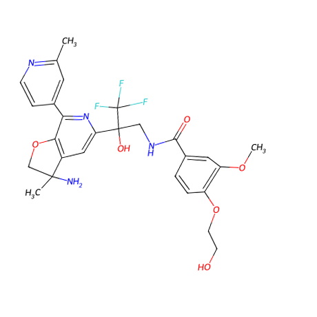 COc1cc(C(=O)NCC(O)(c2cc3c(c(-c4ccnc(C)c4)n2)OCC3(C)N)C(F)(F)F)ccc1OCCO